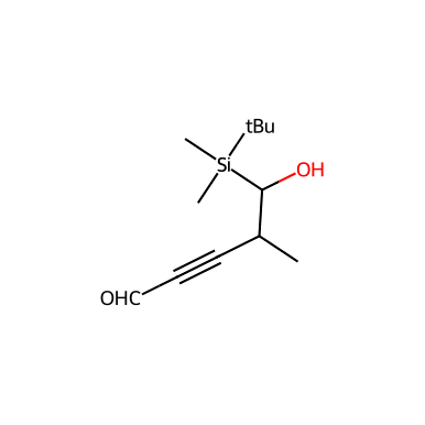 CC(C#CC=O)C(O)[Si](C)(C)C(C)(C)C